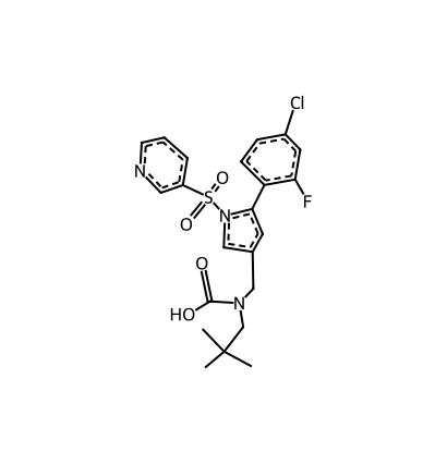 CC(C)(C)CN(Cc1cc(-c2ccc(Cl)cc2F)n(S(=O)(=O)c2cccnc2)c1)C(=O)O